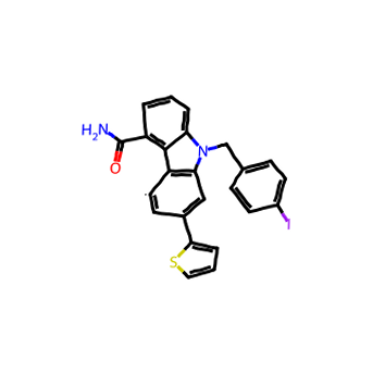 NC(=O)c1cccc2c1c1[c]cc(-c3cccs3)cc1n2Cc1ccc(I)cc1